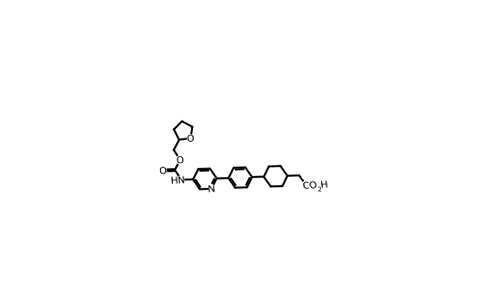 O=C(O)CC1CCC(c2ccc(-c3ccc(NC(=O)OCC4CCCO4)cn3)cc2)CC1